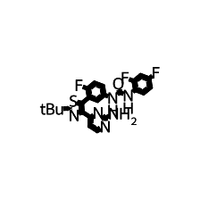 CC(C)(C)c1nc(-c2ccnc(N)n2)c(-c2cc(NC(=O)Nc3ccc(F)cc3F)ccc2F)s1